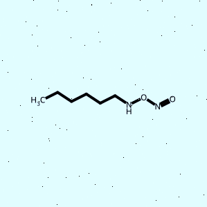 CCCCCCNON=O